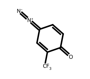 [N-]=[N+]=C1C=CC(=O)C(C(F)(F)F)=C1